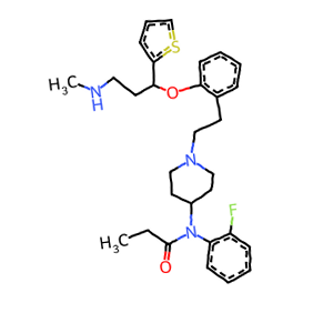 CCC(=O)N(c1ccccc1F)C1CCN(CCc2ccccc2OC(CCNC)c2cccs2)CC1